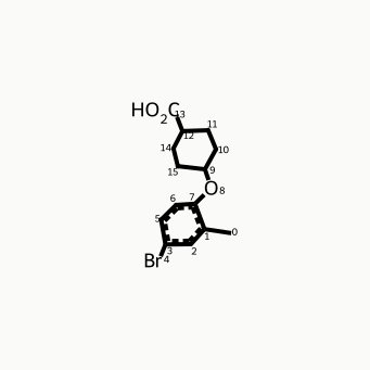 Cc1cc(Br)ccc1OC1CCC(C(=O)O)CC1